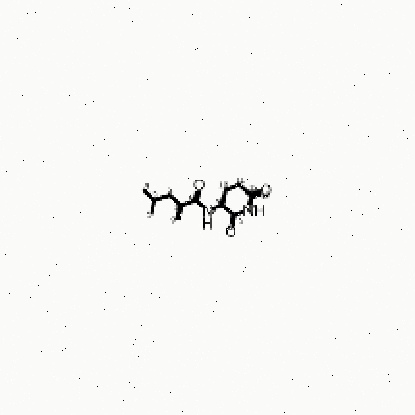 C=C(CC(C)C)C(=O)NC1CCC(=O)NC1=O